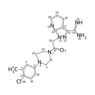 Cc1cc(N2CCN(C(=O)Cn3nc(C(=N)N)c4cccnc43)CC2)ccc1Cl